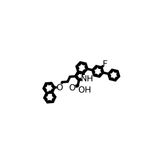 O=C(O)c1[nH]c2c(-c3ccc(-c4ccccc4)c(F)c3)cccc2c1CCCOc1cccc2ccccc12